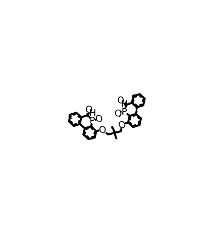 CC(C)(COc1cccc2c1[PH](=O)C(=O)c1ccccc1-2)COc1cccc2c1[PH](=O)C(=O)c1ccccc1-2